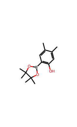 Cc1cc(O)c(B2OC(C)(C)C(C)(C)O2)cc1C